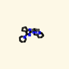 CCCCCCCCCN1CCCCC1CNc1nc2c(c(N3CCCCCC3)n1)CCC2